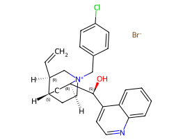 C=C[C@H]1C[N+]2(Cc3ccc(Cl)cc3)CC[C@H]1C[C@@H]2[C@@H](O)c1ccnc2ccccc12.[Br-]